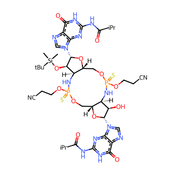 CC(C)C(=O)Nc1nc2c(ncn2[C@@H]2O[C@@H]3COP(=S)(OCCC#N)N[C@H]4[C@@H](O[Si](C)(C)C(C)(C)C)[C@H](n5cnc6c(=O)[nH]c(NC(=O)C(C)C)nc65)O[C@@H]4COP(=S)(OCCC#N)N[C@H]3[C@H]2O)c(=O)[nH]1